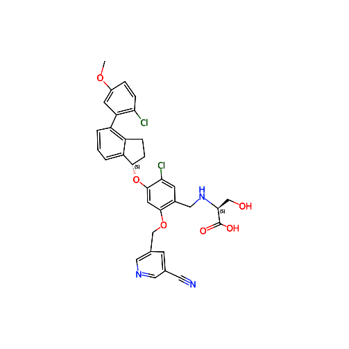 COc1ccc(Cl)c(-c2cccc3c2CC[C@@H]3Oc2cc(OCc3cncc(C#N)c3)c(CN[C@@H](CO)C(=O)O)cc2Cl)c1